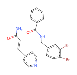 NC(=O)/C=C/c1ccncc1.O=C(NCc1ccc(Br)c(Br)c1)c1ccccc1